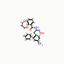 O=C(NC(CO)Cc1ccc(C(F)(F)F)cc1-c1ccc(F)cc1)c1cccc2c1OCCCO2